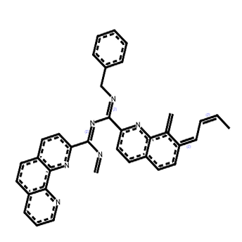 C=N/C(=N\C(=N/Cc1ccccc1)c1ccc2cc/c(=C/C=C\C)c(=C)c2n1)c1ccc2ccc3cccnc3c2n1